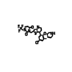 Cc1cc(Cl)cc(-c2ccnc3cc(Cn4c(=O)ccn(CC(F)(F)F)c4=O)sc23)c1OC1C=CCNC1